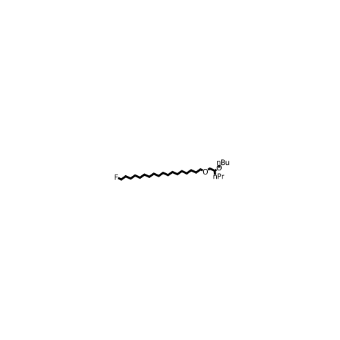 CCCCOC(CCC)COCCCCCCCCCCCCCCCCCCF